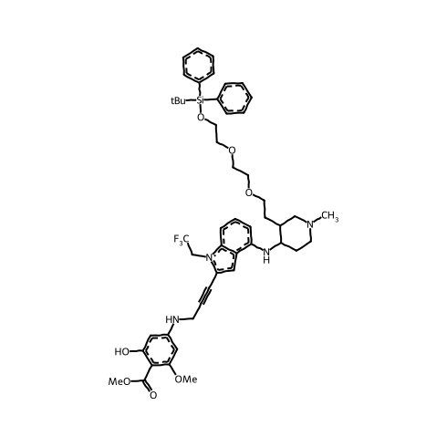 COC(=O)c1c(O)cc(NCC#Cc2cc3c(NC4CCN(C)CC4CCOCCOCCO[Si](c4ccccc4)(c4ccccc4)C(C)(C)C)cccc3n2CC(F)(F)F)cc1OC